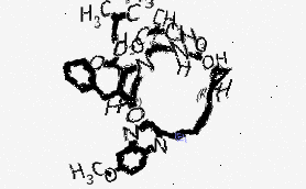 COc1ccc2nc3c(nc2c1)O[C@H]1CN(C(=O)[C@H](C(C)(C)C)NC(=O)O[C@@H]2C[C@H]2CCC/C=C/3)[C@H](C(=O)OCC(C)C)C1Cc1ccccc1